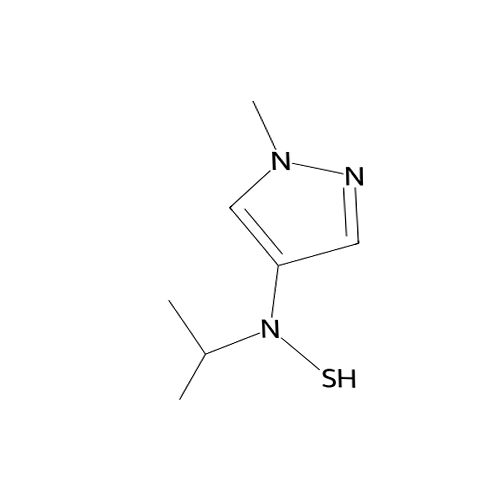 CC(C)N(S)c1cnn(C)c1